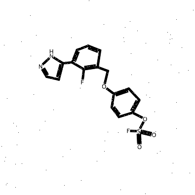 O=S(=O)(F)Oc1ccc(OCc2cccc(-c3ccn[nH]3)c2F)cc1